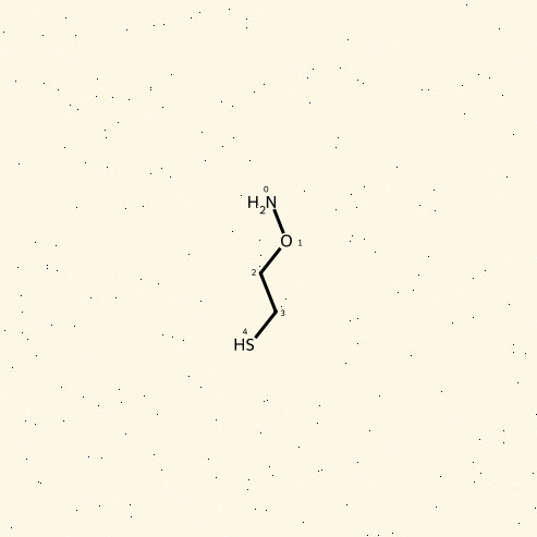 NOCCS